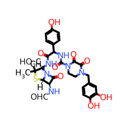 CC1(C)S[C@@H]2[C@H](NC=O)C(=O)N2[C@@]1(NC(=O)C(NC(=O)N1CCN(Cc2ccc(O)c(O)c2)C(=O)C1=O)c1ccc(O)cc1)C(=O)O